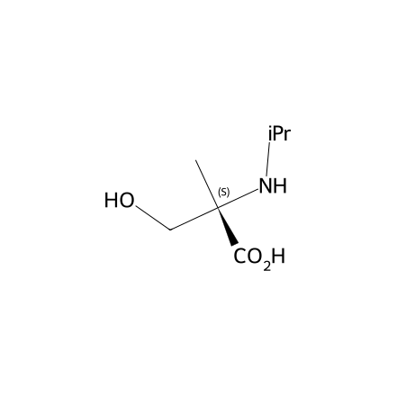 CC(C)N[C@@](C)(CO)C(=O)O